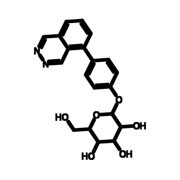 OCC1OC(Oc2ccc(-c3cccc4cnncc34)cc2)C(O)C(O)C1O